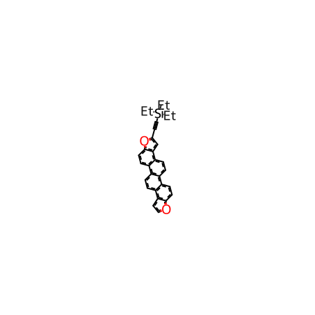 CC[Si](C#Cc1cc2c(ccc3c2ccc2c4ccc5occc5c4ccc32)o1)(CC)CC